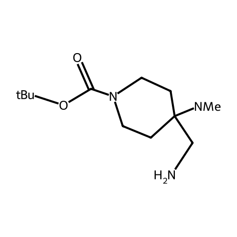 CNC1(CN)CCN(C(=O)OC(C)(C)C)CC1